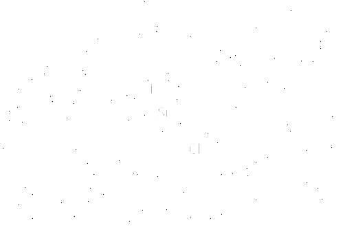 Cl[Si](I)(c1ccccc1)c1ccccc1